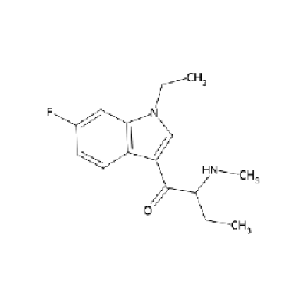 CCC(NC)C(=O)c1cn(CC)c2cc(F)ccc12